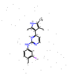 Cc1ccc(Nc2nccc(-c3c(C)[nH]c(C#N)c3C)n2)cc1I